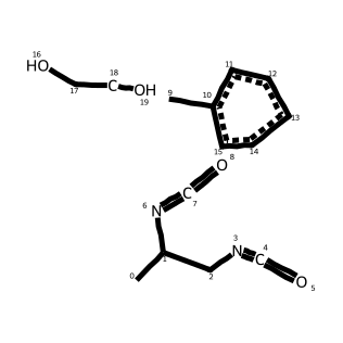 CC(CN=C=O)N=C=O.Cc1ccccc1.OCCO